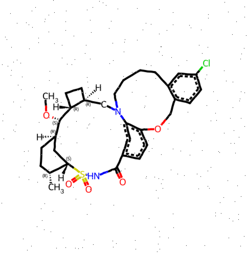 CO[C@H]1[C@@H]2CC[C@@H](C)[C@H](C2)S(=O)(=O)NC(=O)c2ccc3c(c2)N(CCCCc2cc(Cl)ccc2CO3)C[C@@H]2CC[C@H]21